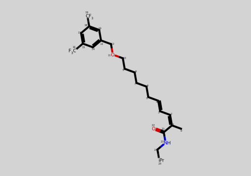 CC(=CC=CCCCCCCOCc1cc(C(F)(F)F)cc(C(F)(F)F)c1)C(=O)NCC(C)C